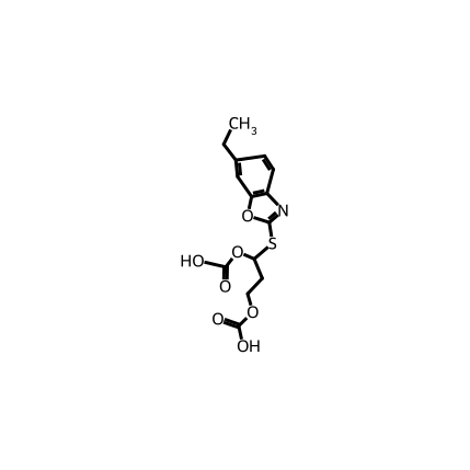 CCc1ccc2nc(SC(CCOC(=O)O)OC(=O)O)oc2c1